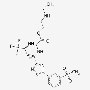 CCNCCOC(=O)CN/C(=C\C(=N)C(F)(F)F)c1nsc(-c2cccc(S(C)(=O)=O)c2)n1